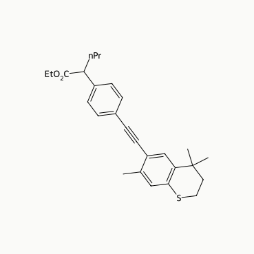 CCCC(C(=O)OCC)c1ccc(C#Cc2cc3c(cc2C)SCCC3(C)C)cc1